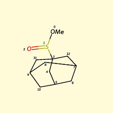 COS(=O)C12CC3CC(CC(C3)C1)C2